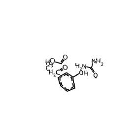 C=O.COC=O.NC(N)=O.Oc1ccccc1